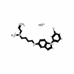 C=CCN(C)CCCCOc1ccc2c(ccn2-c2cccc(F)c2)c1.Cl